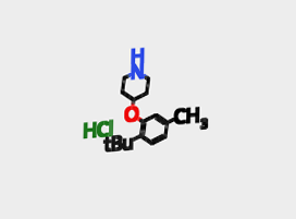 Cc1ccc(C(C)(C)C)c(OC2CCNCC2)c1.Cl